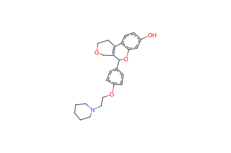 Oc1ccc2c(c1)OC(c1ccc(OCCN3CCCCC3)cc1)C1=C2CCOC1